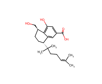 CC(C)=CCCC(C)(C)[C@@H]1CC[C@@H](CO)c2c(O)cc(C(=O)O)cc21